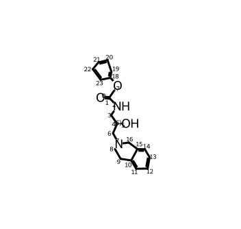 O=C(NC[C@H](O)CN1CCc2ccccc2C1)Oc1ccccc1